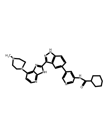 CN1CCN(c2ccnc3[nH]c(-c4n[nH]c5ccc(-c6cncc(NC(=O)C7CCCCC7)c6)cc45)nc23)CC1